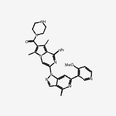 CCCc1nc(-n2ncc3c(C)nc(-c4cnccc4OC)cc32)cn2c(C)c(C(=O)N3CCNCC3)c(C)c12